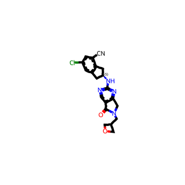 N#Cc1cc(Cl)cc2c1C[C@@H](Nc1ncc3c(n1)CN(CC1COC1)C3=O)C2